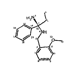 CC[C@](N)(NCc1ccccc1OC)c1ccccc1